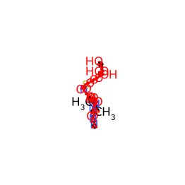 CCc1c2c(nc3ccc(OC(=O)N4CCC(N5CCCCC5)CC4)cc13)-c1cc3c(c(=O)n1C2)COC(=O)[C@@]3(CC)OC(=O)CCCCCN1C(=O)CC(SCCOCCOCCOc2cc(O)c(C(=O)CCc3ccc(O)cc3)c(O)c2)C1=O